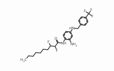 CCCCCCCC(F)C(F)C(=O)Nc1ccc(NCc2ccc(C(F)(F)F)cc2)cc1N